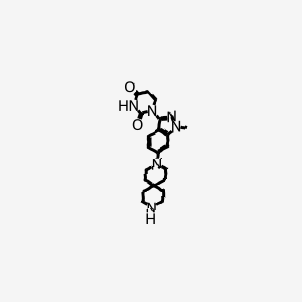 Cn1nc(N2CCC(=O)NC2=O)c2ccc(N3CCC4(CCNCC4)CC3)cc21